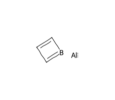 B1=CC=C1.[Al]